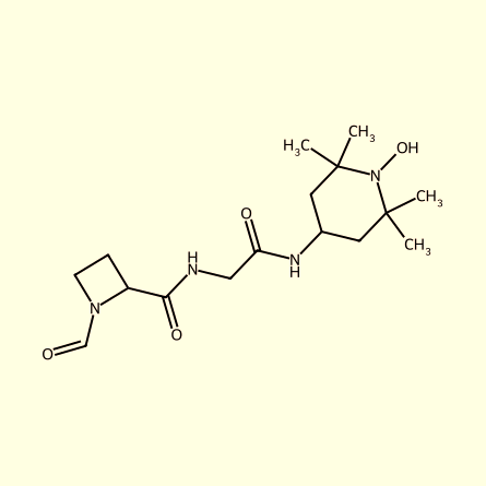 CC1(C)CC(NC(=O)CNC(=O)C2CCN2C=O)CC(C)(C)N1O